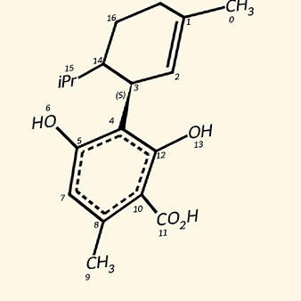 CC1=C[C@@H](c2c(O)cc(C)c(C(=O)O)c2O)C(C(C)C)CC1